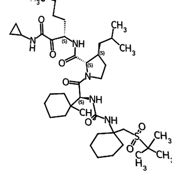 CCCC[C@H](NC(=O)[C@@H]1[C@@H](CC(C)C)CCN1C(=O)[C@@H](NC(=O)NC1(CS(=O)(=O)C(C)(C)C)CCCCC1)C1(C)CCCCC1)C(=O)C(=O)NC1CC1